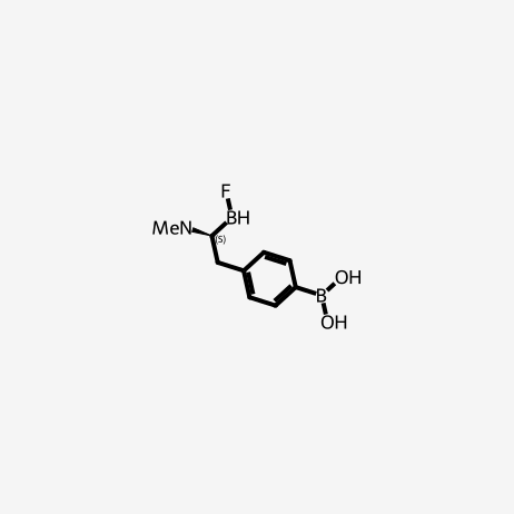 CN[C@@H](BF)Cc1ccc(B(O)O)cc1